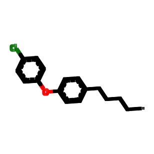 [CH2]CCCCc1ccc(Oc2ccc(Cl)cc2)cc1